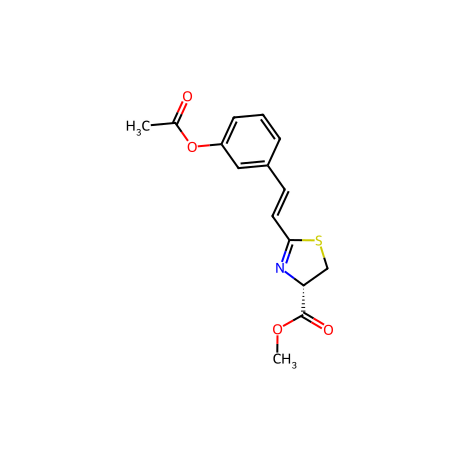 COC(=O)[C@H]1CSC(/C=C/c2cccc(OC(C)=O)c2)=N1